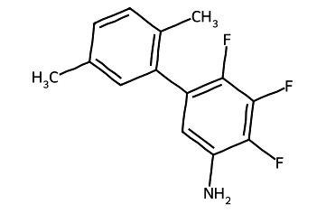 Cc1ccc(C)c(-c2cc(N)c(F)c(F)c2F)c1